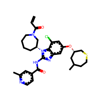 C=CC(=O)N1CCCC[C@@H](n2c(NC(=O)c3ccnc(C)c3)nc3cc(O[C@@H]4CSCCC(C)C4)cc(Cl)c32)C1